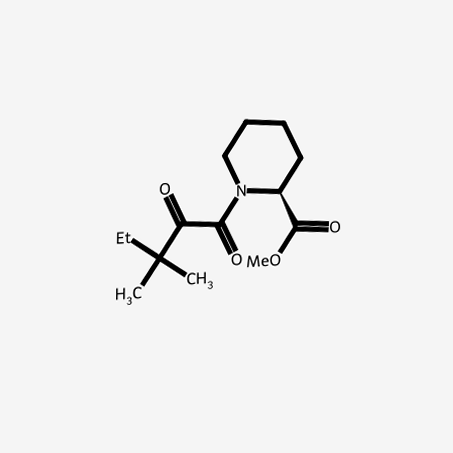 CCC(C)(C)C(=O)C(=O)N1CCCC[C@H]1C(=O)OC